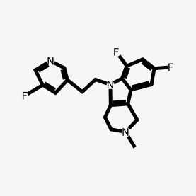 CN1CCc2c(c3cc(F)cc(F)c3n2CCc2cncc(F)c2)C1